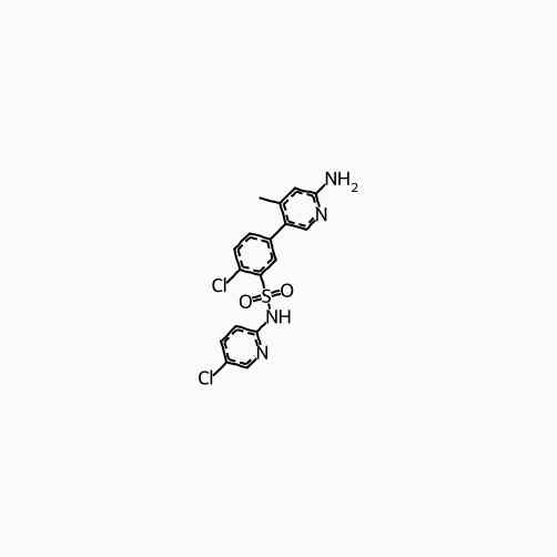 Cc1cc(N)ncc1-c1ccc(Cl)c(S(=O)(=O)Nc2ccc(Cl)cn2)c1